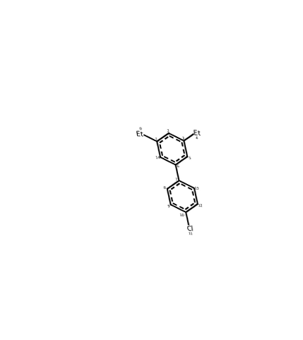 CCc1[c]c(CC)cc(-c2ccc(Cl)cc2)c1